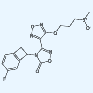 C[S+]([O-])CCCOc1nonc1-c1noc(=O)n1C1Cc2ccc(F)cc21